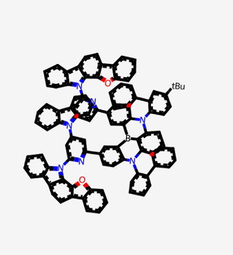 CC(C)(C)c1ccc(N2c3ccc(-c4cccc(-n5c6ccccc6c6ccc7c8ccccc8oc7c65)n4)cc3B3c4cc(-c5cc(-n6c7ccccc7c7ccccc76)cc(-n6c7ccccc7c7ccc8c9ccccc9oc8c76)n5)ccc4N(c4ccccc4-c4ccccc4)c4cccc2c43)c(-c2ccccc2)c1